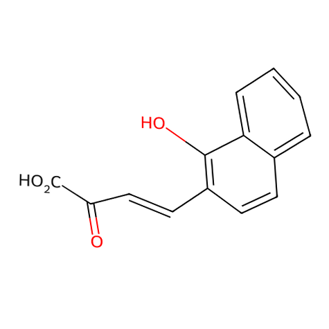 O=C(O)C(=O)C=Cc1ccc2ccccc2c1O